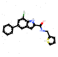 O=C(NCc1cccs1)c1cc2cc(-c3ccccc3)cc(Cl)c2[nH]1